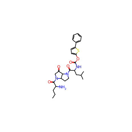 CCCC(N)C(=O)N1CC(=O)C2C1CCN2C(=O)C(CC(C)C)NC(=O)Oc1ccc(-c2ccccc2)s1